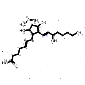 CCCCCC(O)/C=C/C1C(O)CC(O)C1C/C=C/CCCC(=O)O.CON